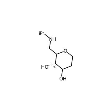 CC(C)NCC1OCCC(O)[C@@H]1O